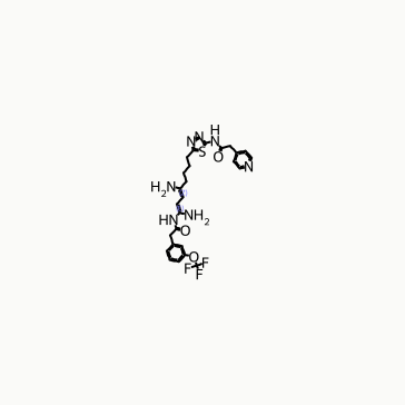 N/C(=C\C=C(/N)NC(=O)Cc1cccc(OC(F)(F)F)c1)CCCCc1nnc(NC(=O)Cc2ccncc2)s1